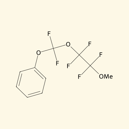 COC(F)(F)C(F)(F)OC(F)(F)Oc1ccccc1